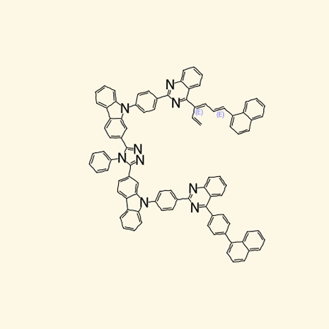 C=C/C(=C\C=C\c1cccc2ccccc12)c1nc(-c2ccc(-n3c4ccccc4c4ccc(-c5nnc(-c6ccc7c8ccccc8n(-c8ccc(-c9nc(-c%10ccc(-c%11cccc%12ccccc%11%12)cc%10)c%10ccccc%10n9)cc8)c7c6)n5-c5ccccc5)cc43)cc2)nc2ccccc12